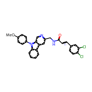 COc1ccc(-n2c3ccccc3c3cc(CNC(=O)/C=C/c4ccc(Cl)c(Cl)c4)ncc32)cc1